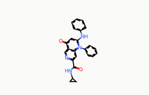 O=C(NC1CC1)c1cc2c(cn1)c(=O)cc(Nc1ccccc1)n2-c1ccccc1